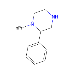 CCCN1CCNCC1c1ccccc1